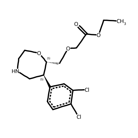 CCOC(=O)COC[C@H]1OCCNC[C@@H]1c1ccc(Cl)c(Cl)c1